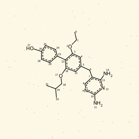 CCOc1cc(Cc2cnc(N)nc2N)cc(OCC(C)C)c1-c1ccc(O)cc1